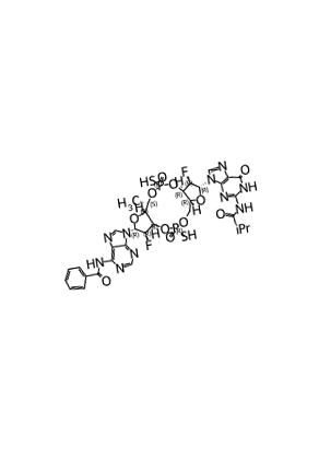 CC(C)C(=O)Nc1nc2c(ncn2[C@@H]2O[C@@H]3CO[P@@](=O)(S)O[C@H]4[C@@H](F)[C@H](n5cnc6c(NC(=O)c7ccccc7)ncnc65)O[C@@H]4[C@H](C)O[P@@](=O)(S)O[C@H]3[C@H]2F)c(=O)[nH]1